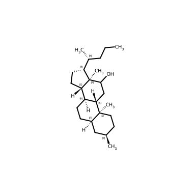 CCC[C@@H](C)[C@H]1CC[C@H]2[C@@H]3CC[C@@H]4C[C@H](C)CC[C@]4(C)[C@H]3CC(O)[C@]12C